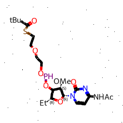 CC[C@H]1O[C@@H](n2ccc(NC(C)=O)nc2=O)[C@@H](OC)C1OPOCCOCCSC(=O)C(C)(C)C